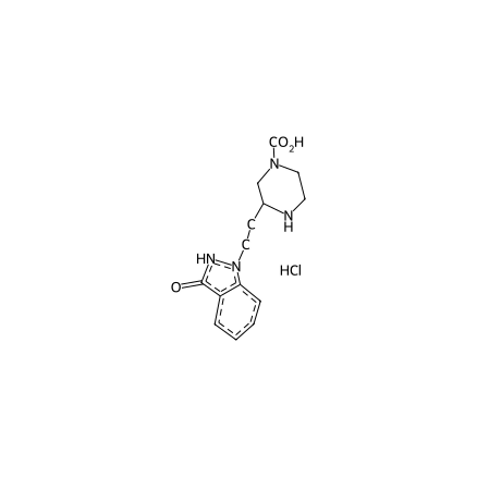 Cl.O=C(O)N1CCNC(CCn2[nH]c(=O)c3ccccc32)C1